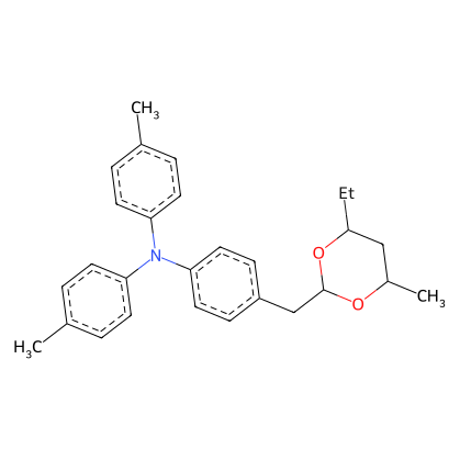 CCC1CC(C)OC(Cc2ccc(N(c3ccc(C)cc3)c3ccc(C)cc3)cc2)O1